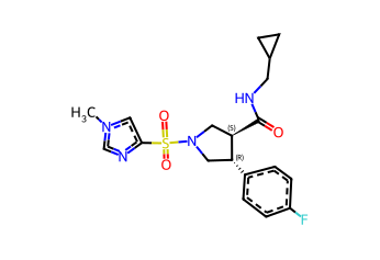 Cn1cnc(S(=O)(=O)N2C[C@@H](C(=O)NCC3CC3)[C@H](c3ccc(F)cc3)C2)c1